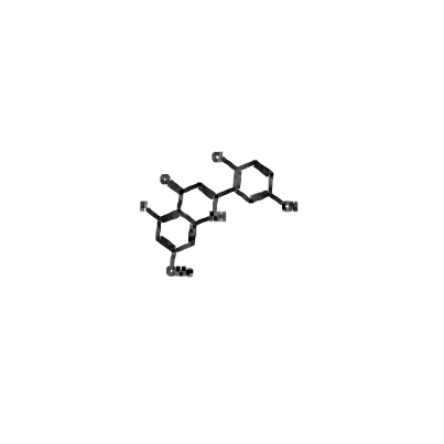 COc1cc(F)c2c(=O)cc(-c3cc(C#N)ccc3Cl)[nH]c2c1